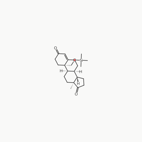 C[C@]12CC[C@@H]3[C@@H](CCC4=CC(=O)CC[C@@]43CO[Si](C)(C)C)[C@@H]1CCC2=O